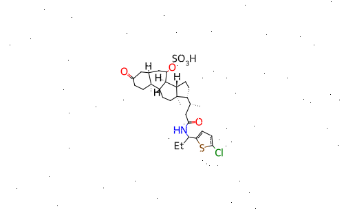 CCC(NC(=O)C[C@@H](C)[C@H]1CC[C@H]2[C@@H]3[C@H](OS(=O)(=O)O)C[C@@H]4CC(=O)CC[C@]4(C)[C@H]3CC[C@]12C)c1ccc(Cl)s1